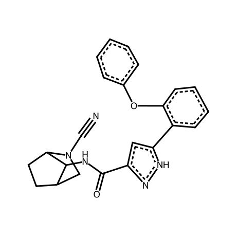 N#CN1CC2CCC1C2NC(=O)c1cc(-c2ccccc2Oc2ccccc2)[nH]n1